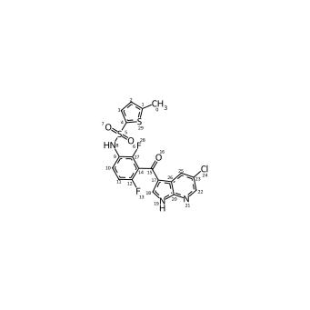 Cc1ccc(S(=O)(=O)Nc2ccc(F)c(C(=O)c3c[nH]c4ncc(Cl)cc34)c2F)s1